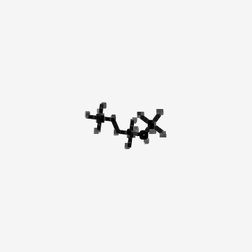 C[Si](C)(C)CC[Si](C)(C)O[Si](C)(C)C